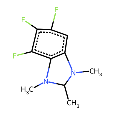 CC1N(C)c2cc(F)c(F)c(F)c2N1C